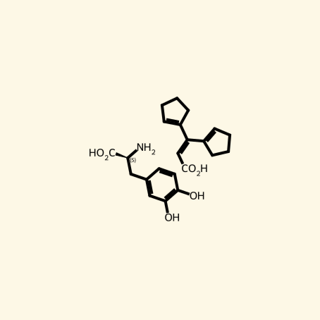 N[C@@H](Cc1ccc(O)c(O)c1)C(=O)O.O=C(O)C=C(C1=CCCC1)C1=CCCC1